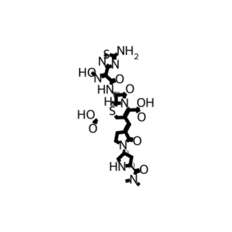 CN(C)C(=O)[C@@H]1C[C@H](N2CCC(=CC3=C(C(=O)O)N4C(=O)[C@@H](NC(=O)C(=NO)c5nsc(N)n5)[C@H]4SC3)C2=O)CN1.O=CO